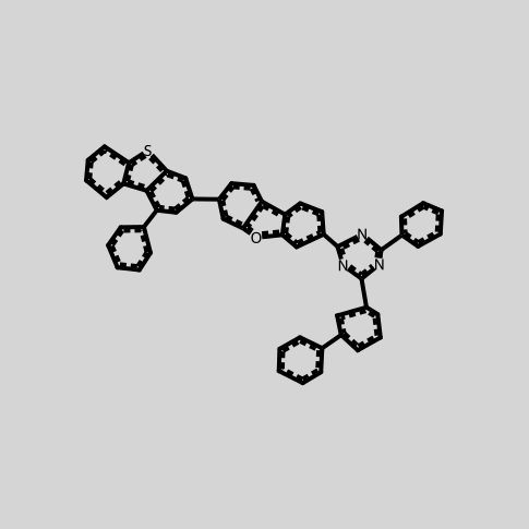 c1ccc(-c2cccc(-c3nc(-c4ccccc4)nc(-c4ccc5c(c4)oc4cc(-c6cc(-c7ccccc7)c7c(c6)sc6ccccc67)ccc45)n3)c2)cc1